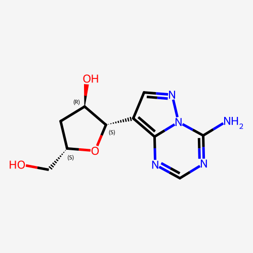 Nc1ncnc2c([C@@H]3O[C@H](CO)C[C@H]3O)cnn12